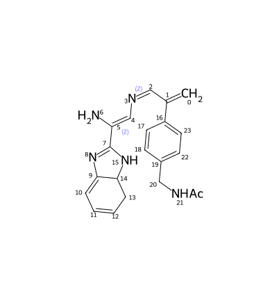 C=C(/C=N\C=C(/N)C1=NC2=CC=CCC2N1)c1ccc(CNC(C)=O)cc1